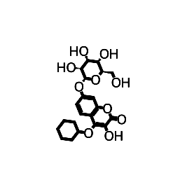 O=c1oc2cc(O[C@@H]3O[C@H](CO)[C@H](O)[C@H](O)[C@H]3O)ccc2c(OC2CCCCC2)c1O